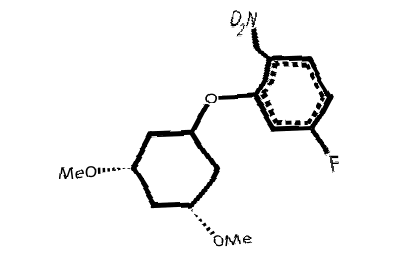 CO[C@@H]1CC(Oc2cc(F)ccc2[N+](=O)[O-])C[C@H](OC)C1